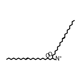 CCCCCCCCC=CCCCCCCCC(=O)CC(C[N+](C)(C)C)C(=O)CCCCCCCC=CCCCCCCCC